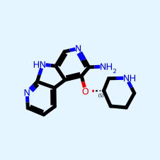 Nc1ncc2[nH]c3ncccc3c2c1O[C@H]1CCCNC1